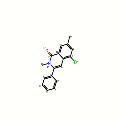 Cc1cc(Br)c2cc(-c3ccccc3)n(C)c(=O)c2c1